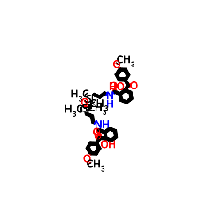 COc1ccc(C(=O)C2(O)CCCCC2C(=O)NCCC[Si](C)(C)O[Si](C)(C)CCCNC(=O)C2CCCCC2(O)C(=O)c2ccc(OC)cc2)cc1